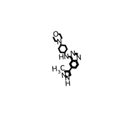 Cc1n[nH]cc1-c1ccc2ncnc(NC3CCC(N4CCOCC4)CC3)c2c1